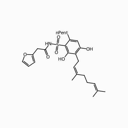 CCCCCc1cc(O)c(CC=C(C)CCC=C(C)C)c(O)c1S(=O)(=O)NC(=O)Cc1ccco1